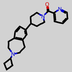 O=C(c1ccccn1)N1CCC(c2ccc3c(c2)CCN(C2CCC2)CC3)CC1